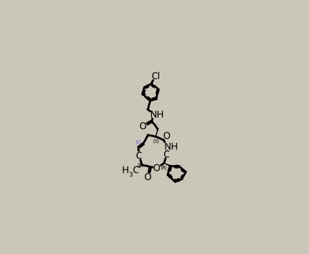 C[C@H]1C/C=C/C[C@@H](CC(=O)NCc2ccc(Cl)cc2)C(=O)NC[C@@H](c2ccccc2)OC1=O